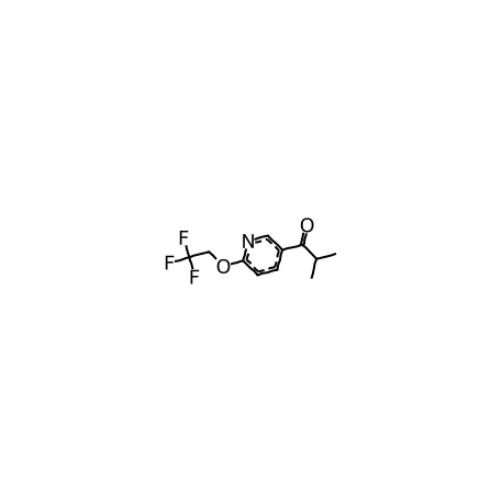 CC(C)C(=O)c1ccc(OCC(F)(F)F)nc1